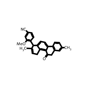 COc1cc(C#N)ccc1C1C(C)=CCc2c1ccc1c2C(=O)Cc2cc(C)ccc2-1